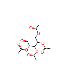 CC(=O)OCC(OC(C)=O)C(OC(C)=O)C(C=O)OC(C)=O